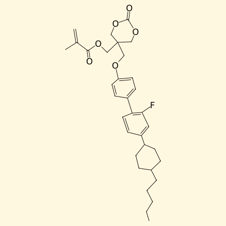 C=C(C)C(=O)OCC1(COc2ccc(-c3ccc(C4CCC(CCCCC)CC4)cc3F)cc2)COC(=O)OC1